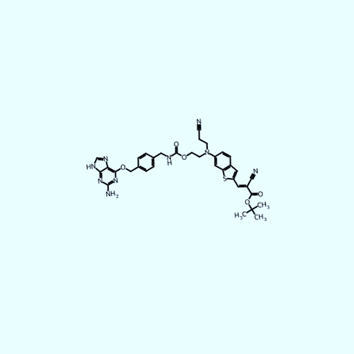 CC(C)(C)OC(=O)/C(C#N)=C/c1cc2ccc(N(CCC#N)CCOC(=O)NCc3ccc(COc4nc(N)nc5[nH]cnc45)cc3)cc2s1